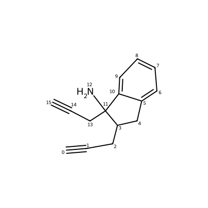 C#CCC1Cc2ccccc2C1(N)CC#C